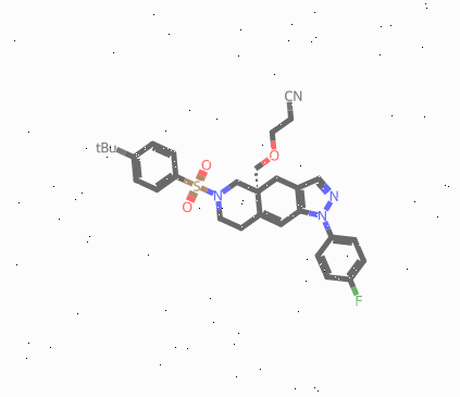 CC(C)(C)c1ccc(S(=O)(=O)N2CCC3=Cc4c(cnn4-c4ccc(F)cc4)C[C@]3(COCCC#N)C2)cc1